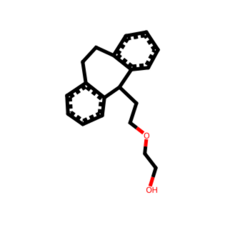 OCCOCCC1c2ccccc2CCc2ccccc21